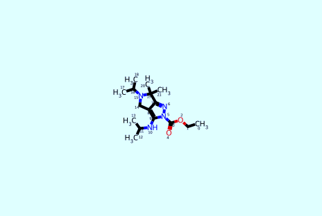 CCOC(=O)n1nc2c(c1NC(C)C)CN(C(C)C)C2(C)C